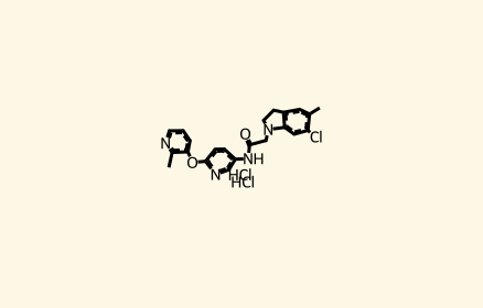 Cc1cc2c(cc1Cl)N(CC(=O)Nc1ccc(Oc3cccnc3C)nc1)CC2.Cl.Cl